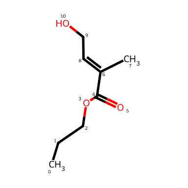 CCCOC(=O)C(C)=CCO